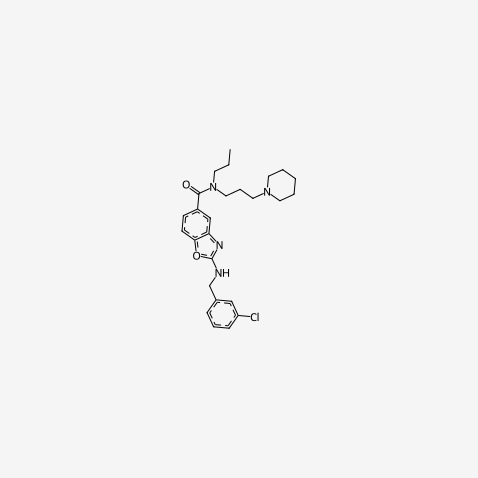 CCCN(CCCN1CCCCC1)C(=O)c1ccc2oc(NCc3cccc(Cl)c3)nc2c1